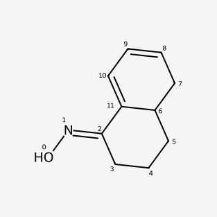 ON=C1CCCC2CC=CC=C12